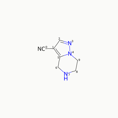 N#Cc1cnn2c1CNCC2